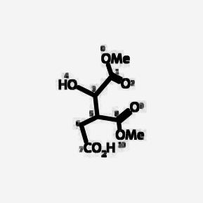 COC(=O)C(O)C(CC(=O)O)C(=O)OC